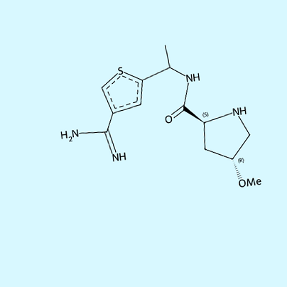 CO[C@H]1CN[C@H](C(=O)NC(C)c2cc(C(=N)N)cs2)C1